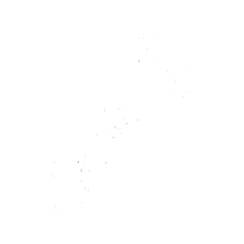 C=C1/C(=C\C=C2/CCC[C@]3(C)[C@@H]([C@H](C)CC[C@](O)(c4ncc(CCCC)o4)C4CC4)CC[C@@H]23)C[C@@H](O[Si](C)(C)C(C)(C)C)C[C@@H]1O[Si](C)(C)C(C)(C)C